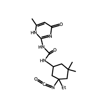 CCC1(N=C=O)CC(NC(=O)Nc2nc(=O)cc(C)[nH]2)CC(C)(C)C1